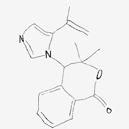 C=C(C)c1cncn1C1c2ccccc2C(=O)OC1(C)C